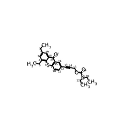 CCc1cc(CC)c2sc3ccc(C#CCOC(=O)N(CC)CC)cc3c(=O)c2c1